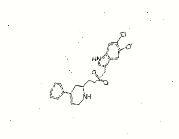 O=S(=O)(CCC1CC(c2ccccc2)=CCN1)Cc1c[nH]c2cc(Cl)c(Cl)cc12